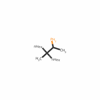 CCCCCCC(C)(CCCCCC)C(C)P